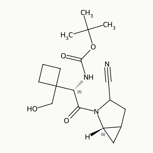 CC(C)(C)OC(=O)N[C@H](C(=O)N1C(C#N)CC2C[C@@H]21)C1(CO)CCC1